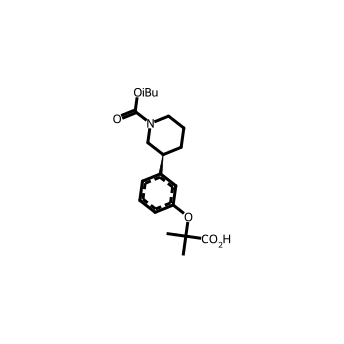 CC(C)COC(=O)N1CCC[C@@H](c2cccc(OC(C)(C)C(=O)O)c2)C1